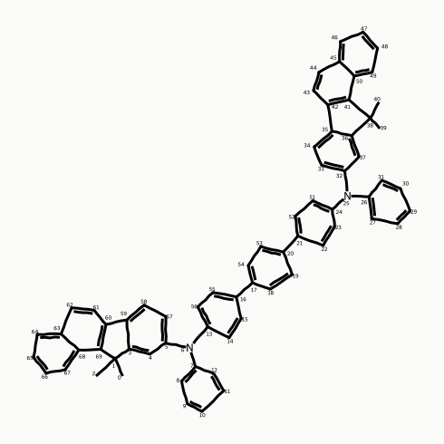 CC1(C)c2cc(N(c3ccccc3)c3ccc(-c4ccc(-c5ccc(N(c6ccccc6)c6ccc7c(c6)C(C)(C)c6c-7ccc7ccccc67)cc5)cc4)cc3)ccc2-c2ccc3ccccc3c21